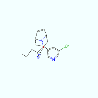 CCCC(C)CN1C2C=CC1CC(C#N)(c1cncc(Br)c1)C2